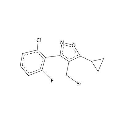 Fc1cccc(Cl)c1-c1noc(C2CC2)c1CBr